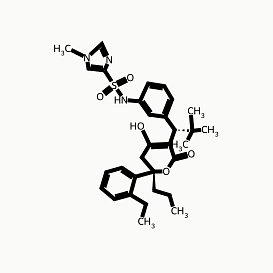 CCC[C@@]1(c2ccccc2CC)CC(O)=C([C@H](c2cccc(NS(=O)(=O)c3cn(C)cn3)c2)C(C)(C)C)C(=O)O1